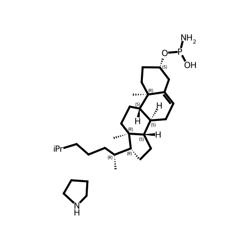 C1CCNC1.CC(C)CCC[C@@H](C)[C@H]1CC[C@H]2[C@@H]3CC=C4C[C@@H](OP(N)O)CC[C@]4(C)[C@H]3CC[C@]12C